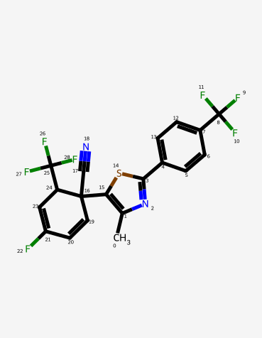 Cc1nc(-c2ccc(C(F)(F)F)cc2)sc1C1(C#N)C=CC(F)=CC1C(F)(F)F